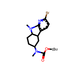 CN(C(=O)OC(C)(C)C)C1CCC2C(C1)c1ccc(Br)nc1N2C